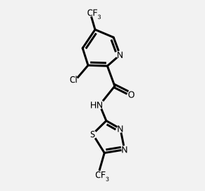 O=C(Nc1nnc(C(F)(F)F)s1)c1ncc(C(F)(F)F)cc1Cl